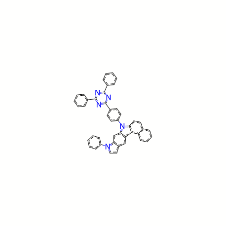 c1ccc(-c2nc(-c3ccccc3)nc(-c3ccc(-n4c5cc6c(ccn6-c6ccccc6)cc5c5c6ccccc6ccc54)cc3)n2)cc1